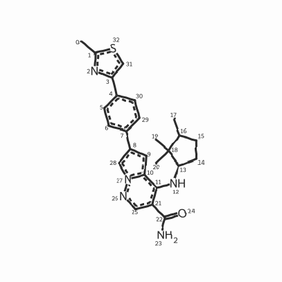 Cc1nc(-c2ccc(-c3cc4c(N[C@@H]5CCC(C)C5(C)C)c(C(N)=O)cnn4c3)cc2)cs1